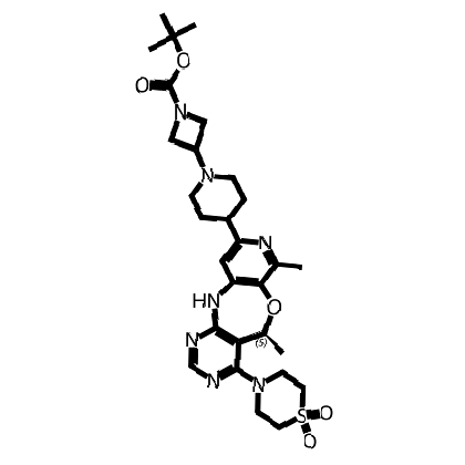 Cc1nc(C2CCN(C3CN(C(=O)OC(C)(C)C)C3)CC2)cc2c1O[C@@H](C)c1c(ncnc1N1CCS(=O)(=O)CC1)N2